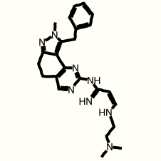 CN(C)CCN/C=C\C(=N)Nc1ncc2c(n1)-c1c(nn(C)c1Cc1ccccc1)CC2